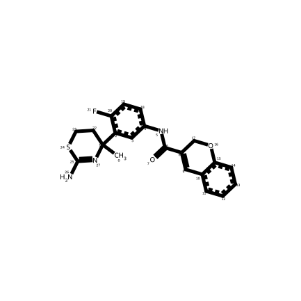 CC1(c2cc(NC(=O)C3=Cc4ccccc4OC3)ccc2F)CCSC(N)=N1